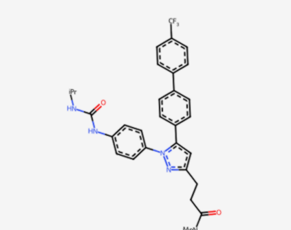 CNC(=O)CCc1cc(-c2ccc(-c3ccc(C(F)(F)F)cc3)cc2)n(-c2ccc(NC(=O)NC(C)C)cc2)n1